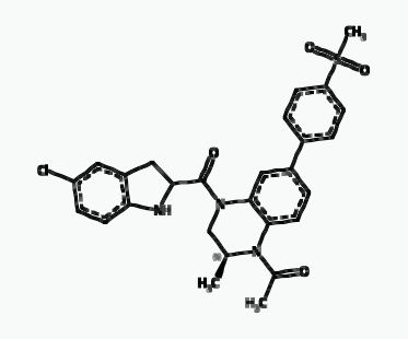 CC(=O)N1c2ccc(-c3ccc(S(C)(=O)=O)cc3)cc2N(C(=O)C2Cc3cc(Cl)ccc3N2)C[C@@H]1C